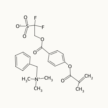 C=C(C)C(=O)Oc1ccc(C(=O)OCC(F)(F)S(=O)(=O)[O-])cc1.C[N+](C)(C)Cc1ccccc1